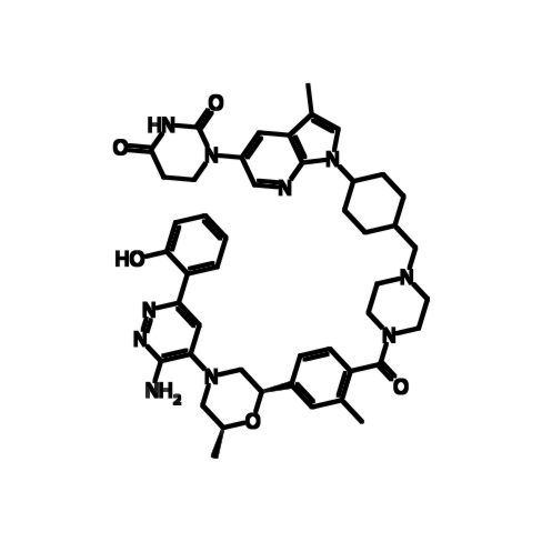 Cc1cc([C@@H]2CN(c3cc(-c4ccccc4O)nnc3N)C[C@H](C)O2)ccc1C(=O)N1CCN(CC2CCC(n3cc(C)c4cc(N5CCC(=O)NC5=O)cnc43)CC2)CC1